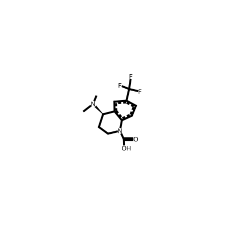 CN(C)[C@@H]1CCN(C(=O)O)c2ccc(C(F)(F)F)cc21